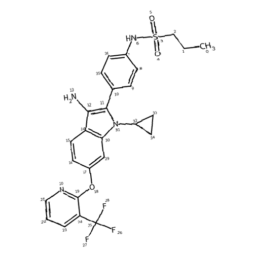 CCCS(=O)(=O)Nc1ccc(-c2c(N)c3ccc(Oc4ncccc4C(F)(F)F)cc3n2C2CC2)cc1